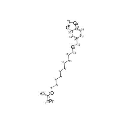 CCCC(=O)OCCCCCCCCCCOCc1ccc2c(c1)OCO2